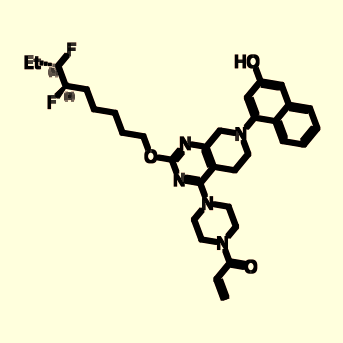 C=CC(=O)N1CCN(c2nc(OCCCCC[C@@H](F)[C@@H](F)CC)nc3c2CCN(c2cc(O)cc4ccccc24)C3)CC1